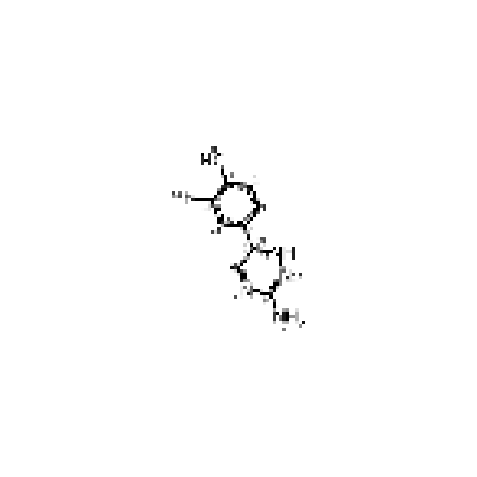 N#Cc1ccc([C@@H]2C=NC(N)=NN2)cc1F